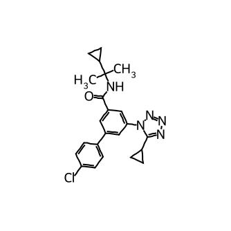 CC(C)(NC(=O)c1cc(-c2ccc(Cl)cc2)cc(-n2nnnc2C2CC2)c1)C1CC1